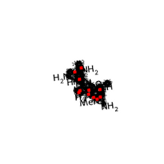 CN[C@@H](CCCCN)C(=O)N[C@@H](CCCCN)CN(CC(=O)N[C@@H](Cc1ccccc1)C(=O)N[C@@H](CCCCN)CN(CC(=O)N[C@@H](Cc1ccccc1)C(=O)N[C@@H](Cc1ccccc1)CN(CC(=O)N[C@@H](CCCCN)C(=O)N[C@@H](Cc1ccccc1)CN(CC(N)=O)S(=O)(=O)Cc1ccccc1)S(=O)(=O)Cc1ccccc1)S(=O)(=O)CCN)S(=O)(=O)Cc1ccccc1